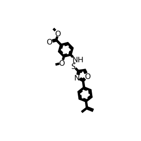 C=C(C)c1ccc(-c2nc(SNc3ccc(C(=O)OC)cc3OC)co2)cc1